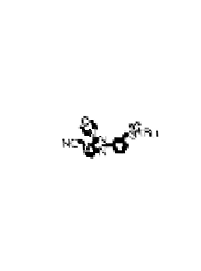 CC(C)(C)[Si](C)(C)OCc1cccc(-c2nc(N3CCOCC3)c3c(ccn3CC#N)n2)c1